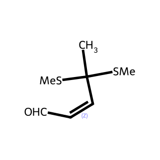 CSC(C)(/C=C\C=O)SC